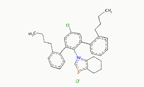 CCCCc1ccccc1-c1cc(Cl)cc(-c2ccccc2CCCC)c1-[n+]1csc2c1CCCC2.[Cl-]